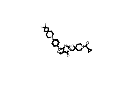 O=C(C1CC1)N1CCC(O)(Cn2cnc3c(cnn3-c3ccc(N4CCC5(CC4)CC(F)(F)C5)cc3)c2=O)CC1